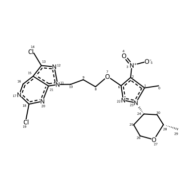 Cc1c([N+](=O)[O-])c(OCCCn2nc(Cl)c3cnc(Cl)nc32)nn1[C@H]1CCO[C@@H](C)C1